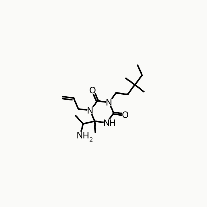 C=CCN1C(=O)N(CCC(C)(C)CC)C(=O)NC1(C)C(C)N